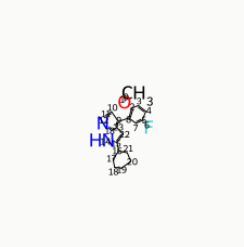 COc1ccc(F)cc1-c1ccnc2[nH]c(C3CCCCC3)cc12